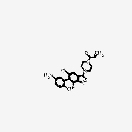 C=CC(=O)N1CCN(c2snc3c(F)c(-c4cc(N)ccc4Cl)c(Cl)cc23)CC1